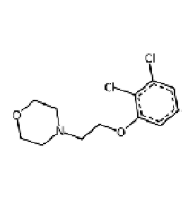 Clc1c[c]cc(OCCN2CCOCC2)c1Cl